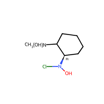 CN(O)C1CCCC[C@H]1N(O)Cl